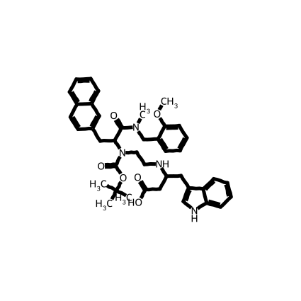 COc1ccccc1CN(C)C(=O)C(Cc1ccc2ccccc2c1)N(CCNC(CC(=O)O)Cc1c[nH]c2ccccc12)C(=O)OC(C)(C)C